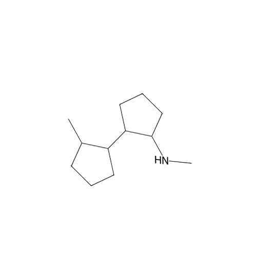 CNC1CCCC1C1CCCC1C